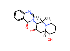 CC1(C)[C@H](n2cnc3ccccc3c2=O)C(=O)C[C@H]2[C@@H](O)CCCN21